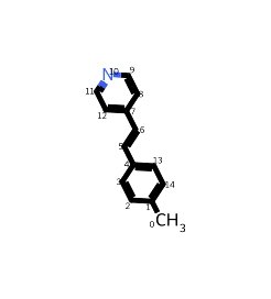 Cc1ccc(C=Cc2ccncc2)cc1